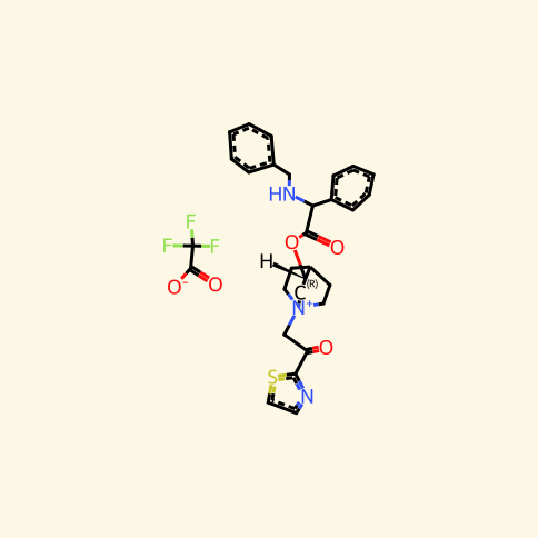 O=C(C[N+]12CCC(CC1)[C@@H](OC(=O)C(NCc1ccccc1)c1ccccc1)C2)c1nccs1.O=C([O-])C(F)(F)F